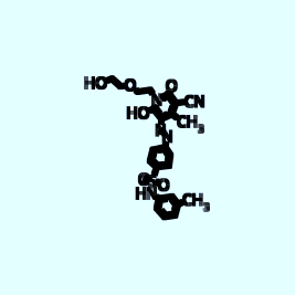 Cc1cccc(NS(=O)(=O)c2ccc(/N=N/c3c(C)c(C#N)c(=O)n(CCOCCO)c3O)cc2)c1